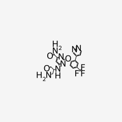 NCC(C=O)Nc1cc(C(N)=O)nc(Oc2ccc(C(F)(F)F)cc2-c2ccnnc2)n1